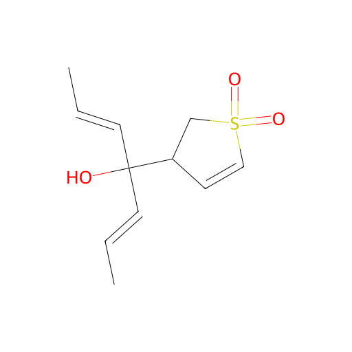 C/C=C/C(O)(/C=C/C)C1C=CS(=O)(=O)C1